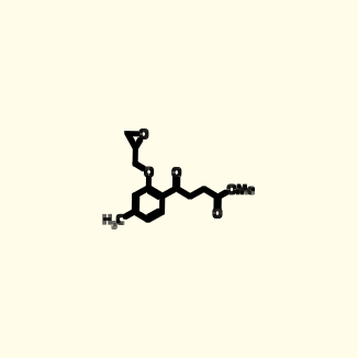 COC(=O)CCC(=O)c1ccc(C)cc1OCC1CO1